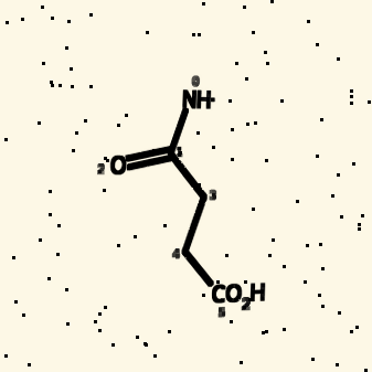 [NH]C(=O)CCC(=O)O